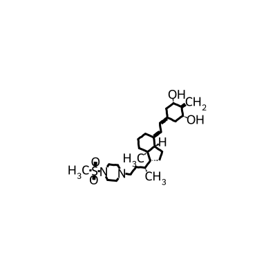 C=C1[C@H](O)CC(=CC=C2CCC[C@]3(C)[C@@H]([C@H](C)CCN4CCN(S(C)(=O)=O)CC4)CC[C@@H]23)C[C@@H]1O